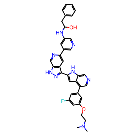 CN(C)CCOc1cc(F)cc(-c2cncc3[nH]c(-c4n[nH]c5cnc(-c6cncc(NC(O)Cc7ccccc7)c6)cc45)cc23)c1